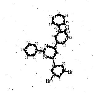 Brc1cc(Br)cc(-c2cc(-c3ccc4oc5ccccc5c4c3)nc(-c3ccccc3)n2)c1